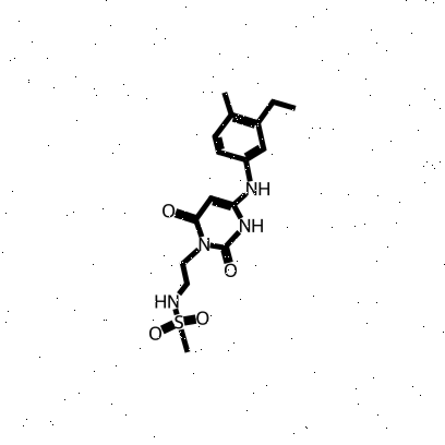 CCc1cc(Nc2cc(=O)n(CCNS(C)(=O)=O)c(=O)[nH]2)ccc1C